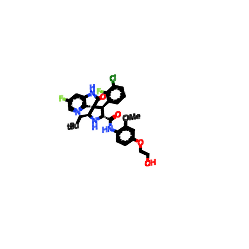 COc1cc(OCCO)ccc1NC(=O)[C@@H]1N[C@@H](CC(C)(C)C)[C@@]2(C(=O)Nc3cc(F)cnc32)[C@H]1c1cccc(Cl)c1F